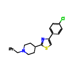 CC(C)CN1CCC(c2nc(-c3ccc(Cl)cc3)cs2)CC1